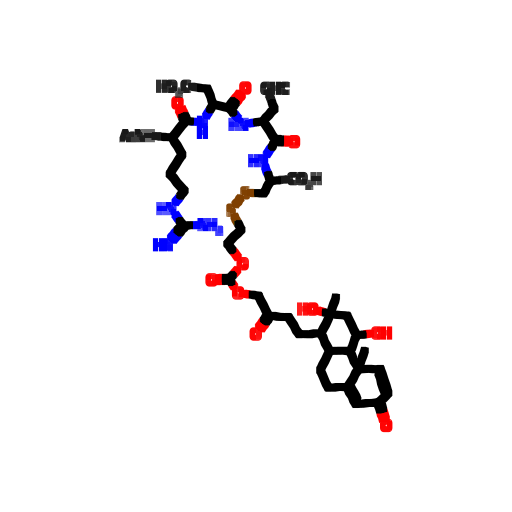 CC(=O)NC(CCCNC(=N)N)C(=O)NC(CC(=O)O)C(=O)NC(CC=O)C(=O)NC(CSSCCOC(=O)OCC(=O)CCC1C2CCC3=CC(=O)C=CC3(C)C2C(O)CC1(C)O)C(=O)O